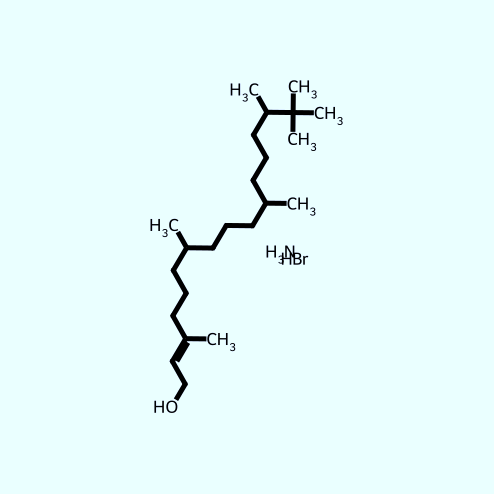 Br.C/C(=C\CO)CCCC(C)CCCC(C)CCCC(C)C(C)(C)C.N